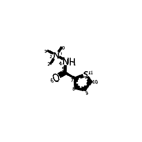 C[N+](C)(C)NC(=O)c1cccs1